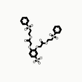 O=C(COc1ccc(S(=O)(=O)Cl)cc1OCC(=O)OCCS(=O)(=O)c1ccccc1)OCCS(=O)(=O)c1ccccc1